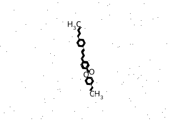 CCCCC[C@H]1CC[C@H](C=CCCc2ccc(C(=O)O[C@H]3CC[C@H](CCC)CC3)cc2)CC1